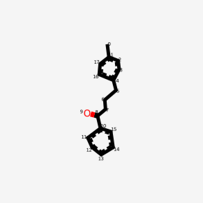 Cc1ccc(CCCC(=O)c2ccccc2)cc1